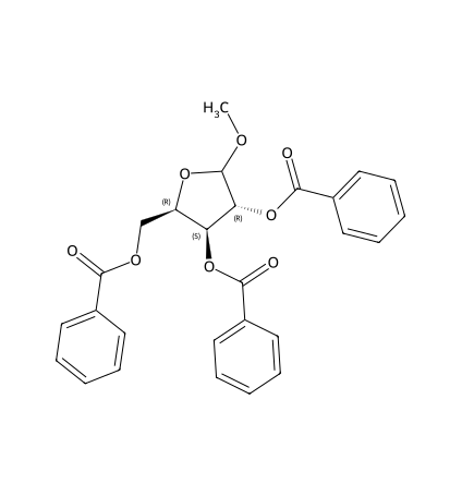 COC1O[C@H](COC(=O)c2ccccc2)[C@H](OC(=O)c2ccccc2)[C@H]1OC(=O)c1ccccc1